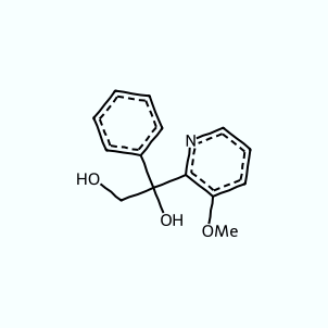 COc1cccnc1C(O)(CO)c1ccccc1